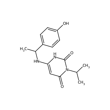 CC(Nc1cc(=O)n(C(C)C)c(=O)[nH]1)c1ccc(O)cc1